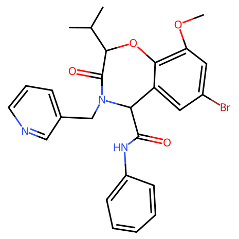 COc1cc(Br)cc2c1OC(C(C)C)C(=O)N(Cc1cccnc1)C2C(=O)Nc1ccccc1